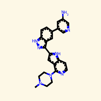 CN1CCN(c2nccc3[nH]c(-c4n[nH]c5ccc(-c6cncc(N)c6)cc45)cc23)CC1